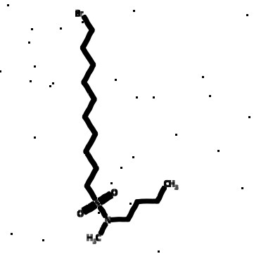 CCCCN(C)S(=O)(=O)CCCCCCCCCCBr